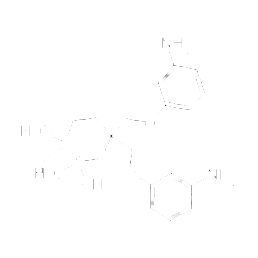 C[Si]1(C)CCC(COc2cccc(N)c2)(COc2cccc(N)c2)O[Si]1(C)C